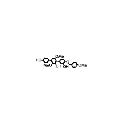 COc1ccc(COc2ccc(-c3c(OC)cc(-c4ccc(O)cc4)c(OC)c3O)cc2O)cc1